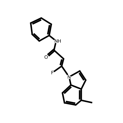 Cc1cccc2c1ccn2/C(F)=C/C(=O)Nc1ccccc1